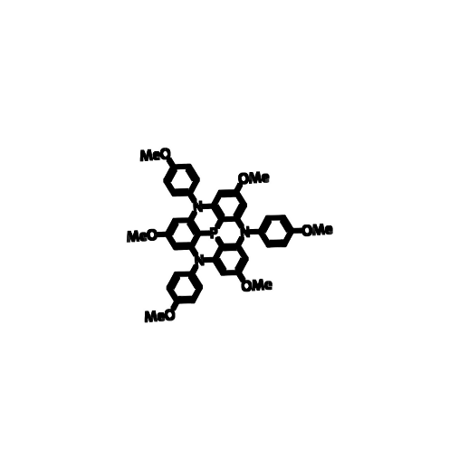 COc1ccc(N2c3cc(OC)cc4c3P3c5c2cc(OC)cc5N(c2ccc(OC)cc2)c2cc(OC)cc(c23)N4c2ccc(OC)cc2)cc1